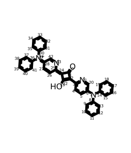 O=C1C(c2ccc(N(c3ccccc3)c3ccccc3)cn2)=C(O)/C1=C1\C=CC(=[N+](c2ccccc2)c2ccccc2)C=N1